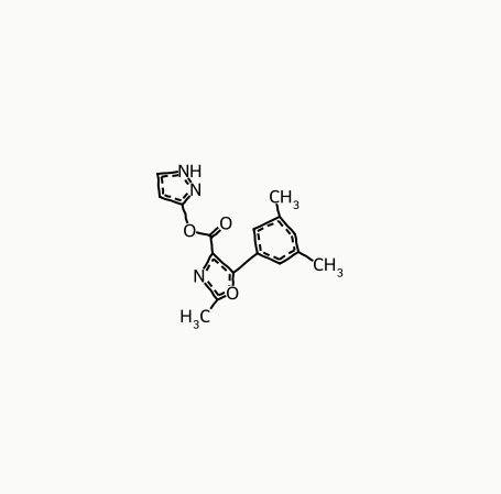 Cc1cc(C)cc(-c2oc(C)nc2C(=O)Oc2cc[nH]n2)c1